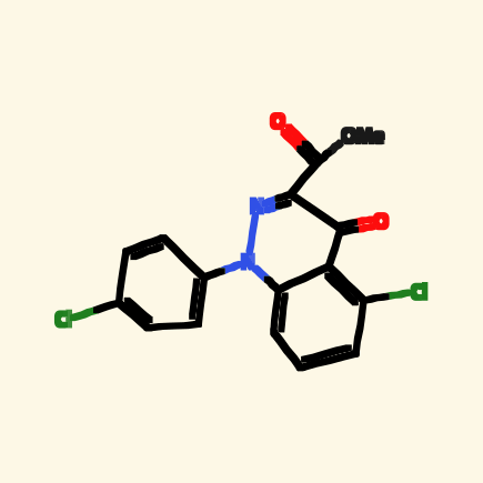 COC(=O)c1nn(-c2ccc(Cl)cc2)c2cccc(Cl)c2c1=O